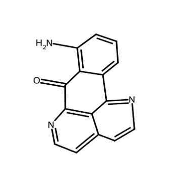 Nc1cccc2c1C(=O)c1nccc3ccnc-2c13